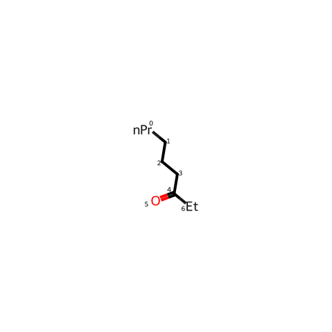 CCCCCCC(=O)CC